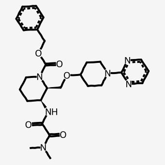 CN(C)C(=O)C(=O)N[C@H]1CCCN(C(=O)OCc2ccccc2)[C@H]1COC1CCN(c2ncccn2)CC1